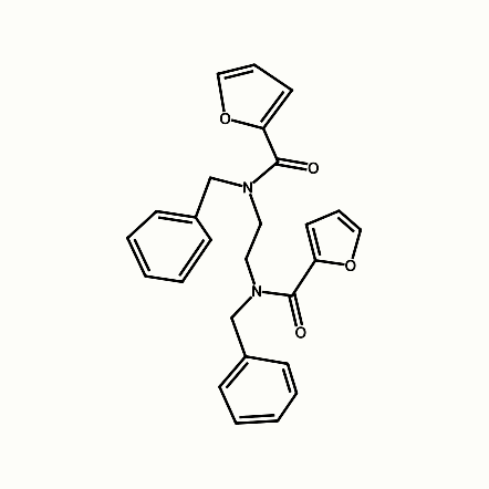 O=C(c1ccco1)N(CCN(Cc1ccccc1)C(=O)c1ccco1)Cc1ccccc1